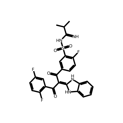 CC(C)C(=N)NS(=O)(=O)c1cc(C(=O)C(C(=O)c2cc(F)ccc2F)=C2Nc3ccccc3N2)ccc1F